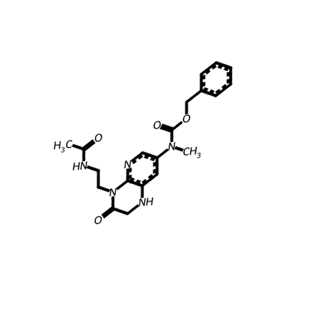 CC(=O)NCCN1C(=O)CNc2cc(N(C)C(=O)OCc3ccccc3)cnc21